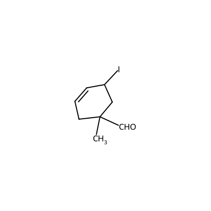 CC1(C=O)CC=CC(I)C1